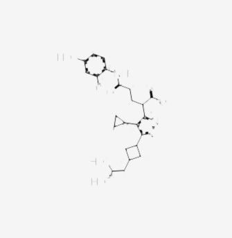 Cc1ccc(NC(=O)CCC(C(=O)O)c2noc(C3CC(CC(C)C)C3)c2C2CC2)c(Cl)c1